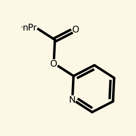 CC[CH]C(=O)Oc1ccccn1